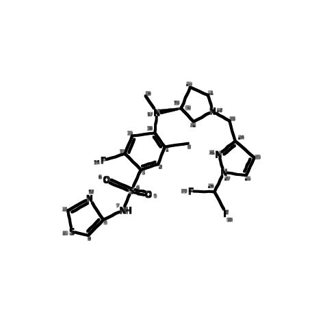 Cc1cc(S(=O)(=O)Nc2cscn2)c(F)cc1N(C)[C@H]1CCN(Cc2ccn(C(F)F)n2)C1